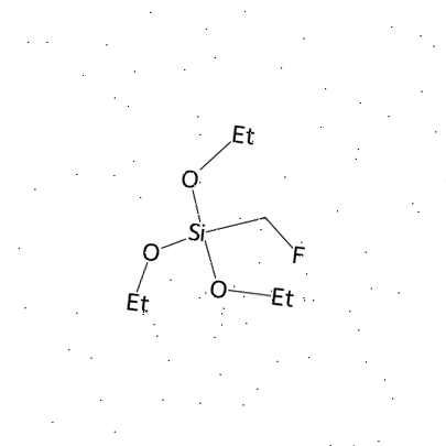 CCO[Si](CF)(OCC)OCC